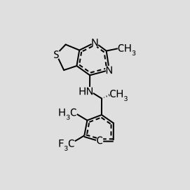 Cc1nc2c(c(N[C@H](C)c3cccc(C(F)(F)F)c3C)n1)CSC2